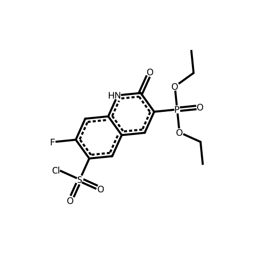 CCOP(=O)(OCC)c1cc2cc(S(=O)(=O)Cl)c(F)cc2[nH]c1=O